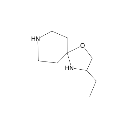 CCC1COC2(CCNCC2)N1